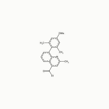 CCC(=O)c1cc(C)nc2c(-c3c(C)cc(OC)cc3C)cccc12